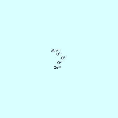 [Ge+4].[Mn+2].[O-2].[O-2].[O-2]